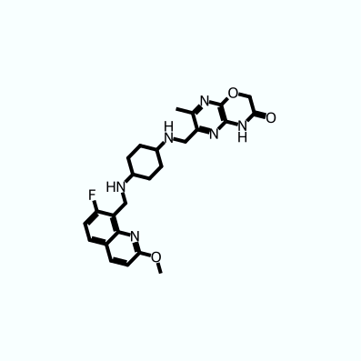 COc1ccc2ccc(F)c(CNC3CCC(NCc4nc5c(nc4C)OCC(=O)N5)CC3)c2n1